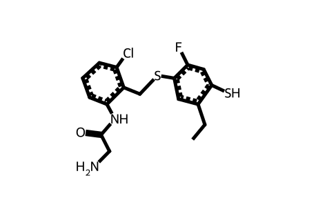 CCc1cc(SCc2c(Cl)cccc2NC(=O)CN)c(F)cc1S